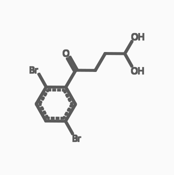 O=C(CCC(O)O)c1cc(Br)ccc1Br